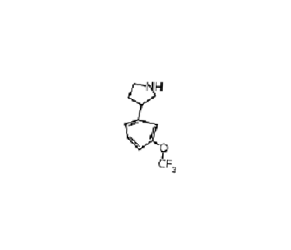 FC(F)(F)Oc1cccc(C2CCNC2)c1